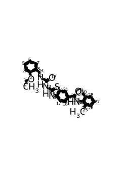 CCOc1ccccc1CNC(=O)Nc1nc2ccc(C(=O)Nc3c(C)cccc3Cl)cc2s1